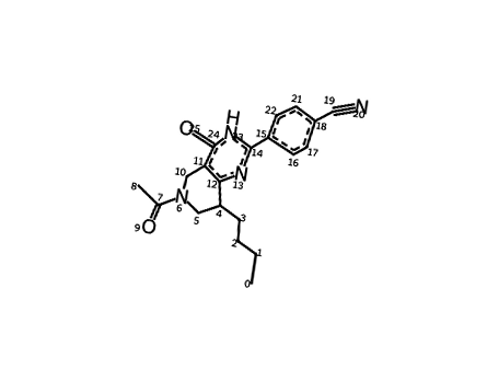 CCCCC1CN(C(C)=O)Cc2c1nc(-c1ccc(C#N)cc1)[nH]c2=O